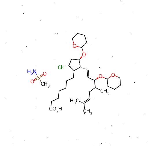 CC(C)=CCC(C)[C@@H](/C=C/[C@@H]1[C@@H](CCCCCCC(=O)O)[C@H](Cl)C[C@H]1OC1CCCCO1)OC1CCCCO1.CS(N)(=O)=O